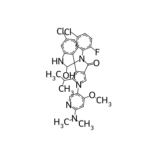 COc1cc(N(C)C)ncc1-n1cc2c(c1C(C)C)C1(c3ccc(Cl)cc3NC1O)N(c1cc(Cl)ccc1F)C2=O